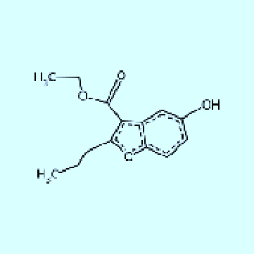 CCCc1oc2ccc(O)cc2c1C(=O)OCC